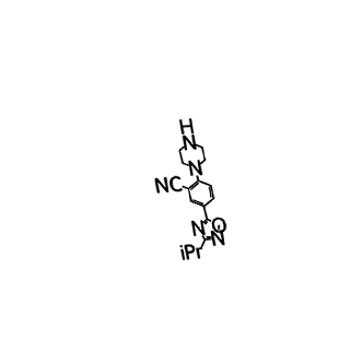 CC(C)c1noc(-c2ccc(N3CCNCC3)c(C#N)c2)n1